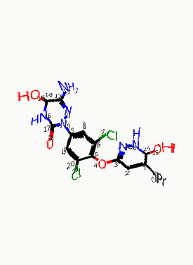 CC(C)C1=CC(Oc2c(Cl)cc(N3N=C(N)C(O)NC3=O)cc2Cl)=NNC1O